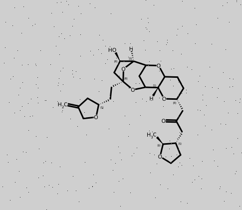 C=C1CO[C@@H](CC[C@]23C[C@@H](O)[C@H](O2)C2CC(O3)[C@H]3O[C@@H](CC(=O)C[C@@H]4CCO[C@H]4C)CCC3O2)C1